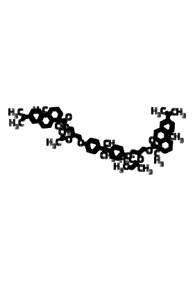 CCC(C)(C)OC(COC(=O)C1(C)CCCC2(C)c3ccc(C(C)C)cc3CCC12)COc1ccc(C(C)(C)c2ccc(OCC(COC(=O)C3(C)CCCC4(C)c5ccc(C(C)C)cc5CCC34)OC(C)C)cc2)cc1